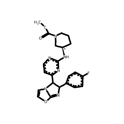 CCC(=O)N1CCC[C@@H](Nc2nccc(C3C(c4ccc(F)cc4)N=C4OC=CN43)n2)C1